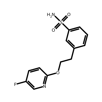 NS(=O)(=O)c1cccc(CCOc2ccc(F)cn2)c1